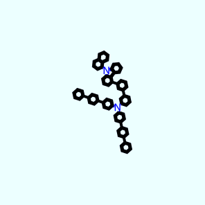 c1ccc(-c2ccc(-c3ccc(N(c4ccc(-c5ccc(-c6ccccc6)cc5)cc4)c4cccc(-c5cccc(-c6cccc7c6c6ccccc6n7-c6cccc7ccccc67)c5)c4)cc3)cc2)cc1